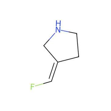 FC=C1CCNC1